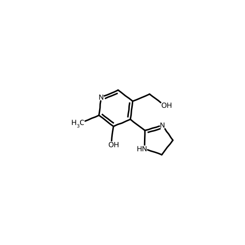 Cc1ncc(CO)c(C2=NCCN2)c1O